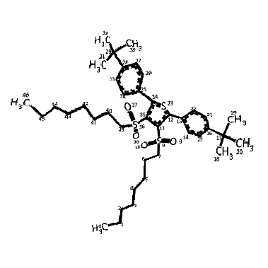 CCCCCCCCS(=O)(=O)c1c(-c2ccc(C(C)(C)C)cc2)sc(-c2ccc(C(C)(C)C)cc2)c1S(=O)(=O)CCCCCCCC